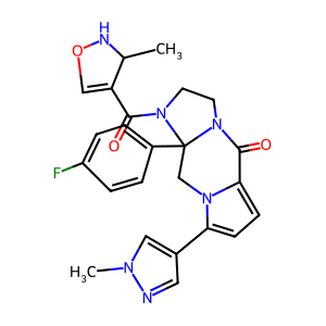 CC1NOC=C1C(=O)N1CCN2C(=O)c3ccc(-c4cnn(C)c4)n3CC12c1ccc(F)cc1